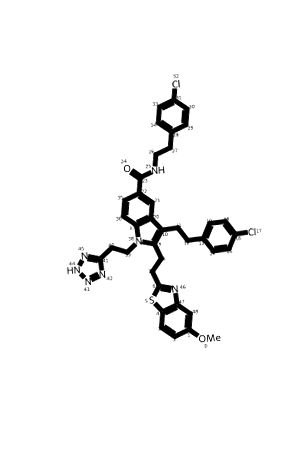 COc1ccc2sc(CCc3c(CCc4ccc(Cl)cc4)c4cc(C(=O)NCCc5ccc(Cl)cc5)ccc4n3CCc3nn[nH]n3)nc2c1